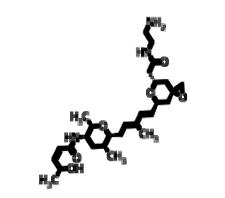 CC(/C=C/[C@@H]1C[C@]2(CO2)C[C@@H](CC(=O)NCCN)O1)=C\C[C@@H]1O[C@H](C)[C@H](NC(=O)/C=C\[C@H](C)O)C[C@@H]1C